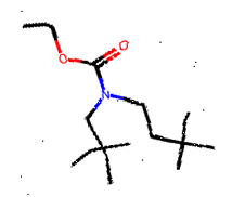 CCOC(=O)N(CCC(C)(C)C)CC(C)(C)C